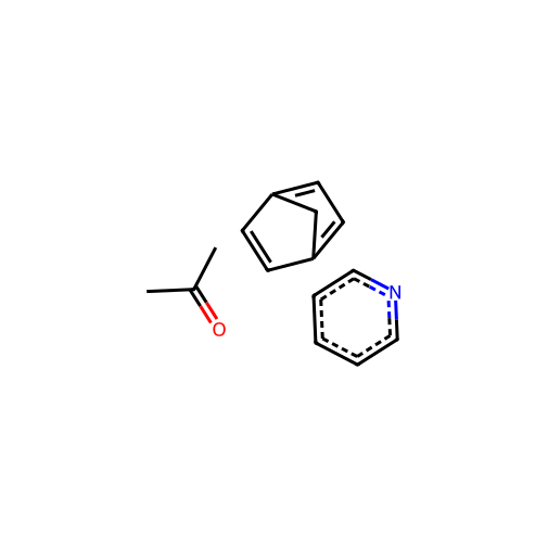 C1=CC2=CC=C1C2.CC(C)=O.c1ccncc1